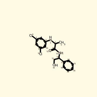 CC(Nc1cc(Cl)cc(Cl)c1)C(=O)NC(CO)c1ccccc1